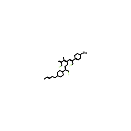 C=C(CF)/C(C)=C(/C=C(\CF)C1=CCC(C(C)CC)CC1)C/C=C(\CF)C1CCC(CC/C=C/C)CC1